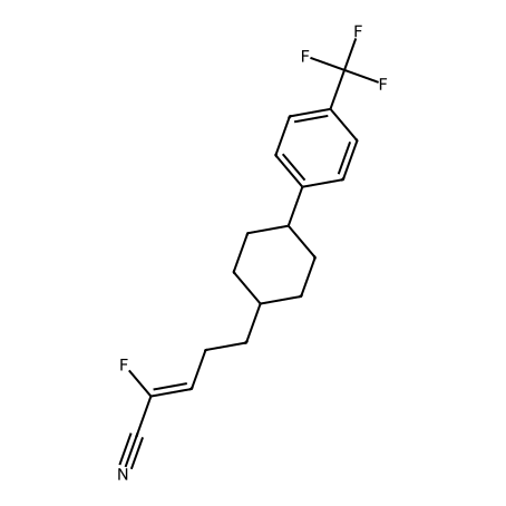 N#CC(F)=CCCC1CCC(c2ccc(C(F)(F)F)cc2)CC1